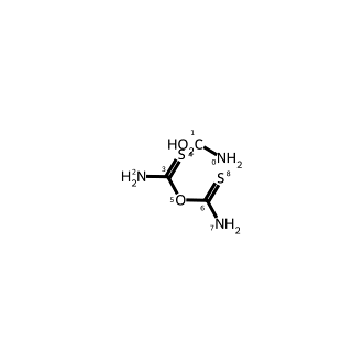 NC(=O)O.NC(=S)OC(N)=S